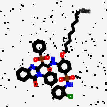 CCCCCCCCCCCCCCCCCCOc1ccc(S(=O)(=O)Nc2ccccc2Cl)cc1NC(=O)C(c1nc2ccccc2c(=O)n1-c1ccccc1)S(=O)(=O)c1ccccc1